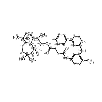 Cc1ccc(NC(=O)CCC(=O)O[C@H]2O[C@@H]3O[C@](C)(O)CC[C@H]4[C@H](C)CC[C@@H]([C@H]2C)[C@@]34O)cc1Nc1nccc(-c2cccnc2)n1